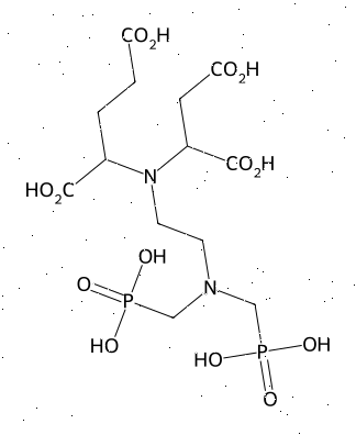 O=C(O)CCC(C(=O)O)N(CCN(CP(=O)(O)O)CP(=O)(O)O)C(CC(=O)O)C(=O)O